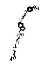 CCOc1ccc(OCCCOc2ccc3c(c2)CC[C@H]3CC(=O)OCCOCCOCCN=[N+]=[N-])cc1